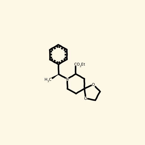 CCOC(=O)C1CC2(CCN1[C@@H](C)c1ccccc1)OCCO2